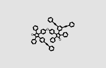 O=C1C(c2ccccc2)=C(c2ccc(C#Cc3ccccc3)cc2)C(c2ccc(Oc3ccc(C4=C(c5ccccc5)C(=O)C(c5ccccc5)=C4c4cc(C#Cc5ccccc5)cc(C#Cc5ccccc5)c4)cc3)cc2)=C1c1ccccc1